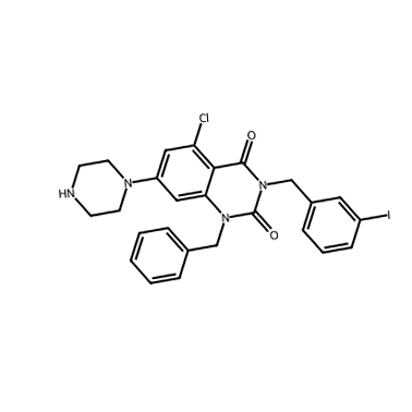 O=c1c2c(Cl)cc(N3CCNCC3)cc2n(Cc2ccccc2)c(=O)n1Cc1cccc(I)c1